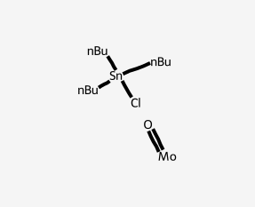 CCC[CH2][Sn]([Cl])([CH2]CCC)[CH2]CCC.[O]=[Mo]